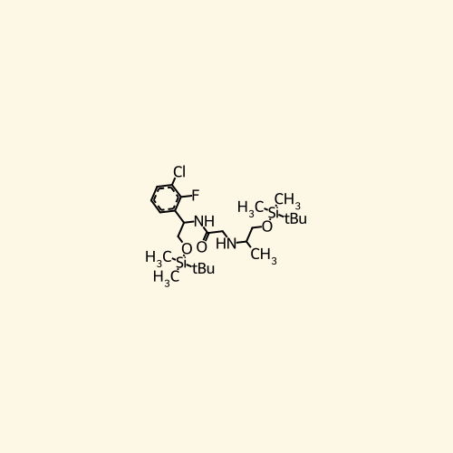 CC(CO[Si](C)(C)C(C)(C)C)NCC(=O)NC(CO[Si](C)(C)C(C)(C)C)c1cccc(Cl)c1F